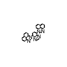 C1=Nc2cccc3cccc(c23)N1c1ccc(N2C=Nc3cccc4cccc2c34)c2nccnc12